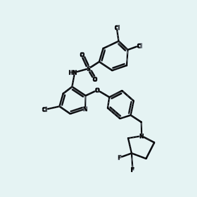 O=S(=O)(Nc1cc(Cl)cnc1Oc1ccc(CN2CCC(F)(F)C2)cc1)c1ccc(Cl)c(Cl)c1